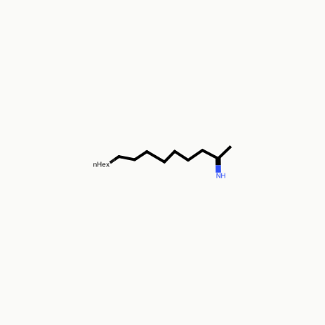 CCCCCCCCCCCCCC(C)=N